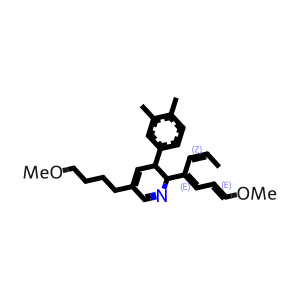 C\C=C/C(=C\C=C\OC)C1N=CC(CCCCOC)=CC1c1ccc(C)c(C)c1